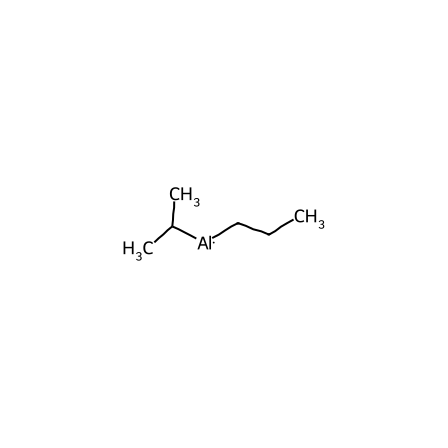 CC[CH2][Al][CH](C)C